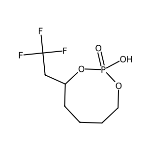 O=P1(O)OCCCCC(CC(F)(F)F)O1